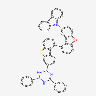 c1ccc(C2=NC(c3ccc4c(c3)sc3cccc(-c5cccc6oc7ccc(-n8c9ccccc9c9ccccc98)cc7c56)c34)NC(c3ccccc3)N2)cc1